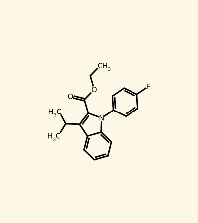 CCOC(=O)c1c(C(C)C)c2ccccc2n1-c1ccc(F)cc1